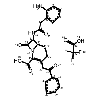 Nc1ccccc1CC(=O)NC1C(=O)N2C(C(=O)O)=C(CC(=O)c3ccccc3)CSC12.O=C(O)C(F)(F)F